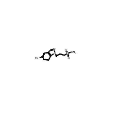 CS(=O)(=O)CCCn1ncc2cc(O)ccc21